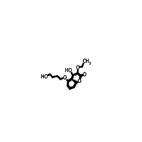 CCOc1c(O)c2c(OCCCCO)cccc2oc1=O